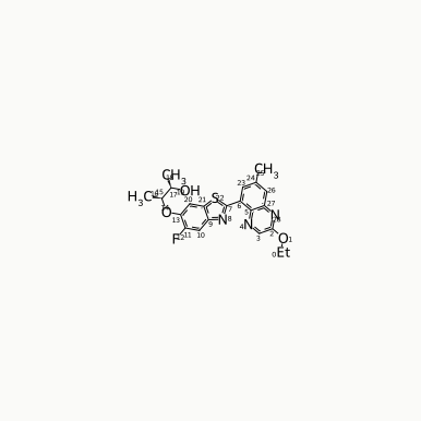 CCOc1cnc2c(-c3nc4cc(F)c(O[C@@H](C)[C@@H](C)O)cc4s3)cc(C)cc2n1